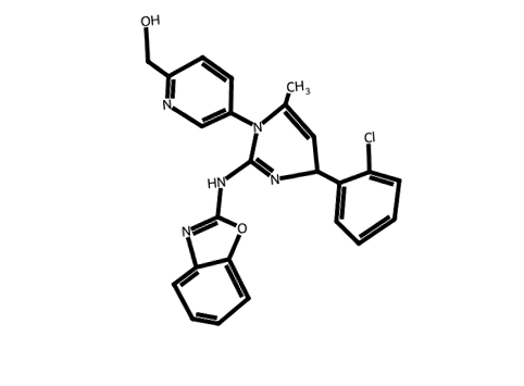 CC1=CC(c2ccccc2Cl)N=C(Nc2nc3ccccc3o2)N1c1ccc(CO)nc1